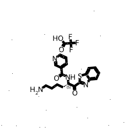 NCCCC[C@H](NC(=O)c1cccnc1)C(=O)c1nc2ccccc2s1.O=C(O)C(F)(F)F